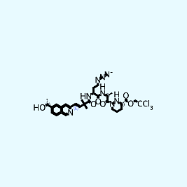 C[C@H](NC(=O)C(CCN=[N+]=[N-])NC(=O)C(C)(C)/C=C/c1cc2cc([C@@H](C)O)ccc2cn1)C(=O)N1CCC[C@@H](C(=O)OCC(Cl)(Cl)Cl)N1